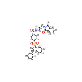 O=C(c1ccc(S(=O)(=O)n2cc(-c3ccccc3)c3ccccc32)cc1)N1CC(CN2C(=O)c3ccccc3C2=O)C1